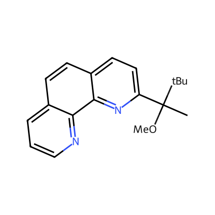 COC(C)(c1ccc2ccc3cccnc3c2n1)C(C)(C)C